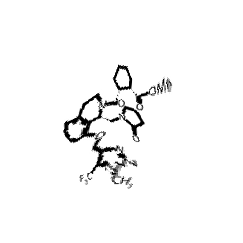 COC(=O)[C@H]1CCCC[C@H]1C(=O)N1CCc2cccc(OCc3nnn(C)c3C(F)(F)F)c2[C@H]1CN1CCCC1=O